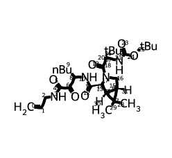 C=CCNC(=O)C(=O)C(CCCC)NC(=O)[C@@H]1[C@@H]2[C@H](CN1C(=O)[C@@H](NC(=O)OC(C)(C)C)C(C)(C)C)C2(C)C